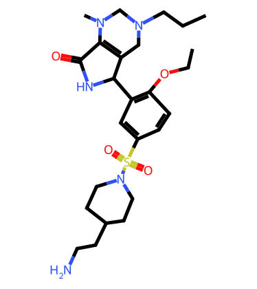 CCCN1CC2=C(C(=O)NC2c2cc(S(=O)(=O)N3CCC(CCN)CC3)ccc2OCC)N(C)C1